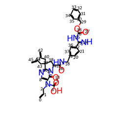 C=CCN(C(=O)O)c1cnc2n(c1=O)C(C(=O)NCc1ccc(C(=N)NC(=O)OCc3ccccc3)cc1)CC2(CC=C)CC=C